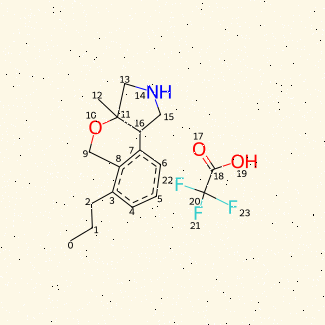 CCCc1cccc2c1COC1(C)CNCC21.O=C(O)C(F)(F)F